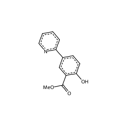 COC(=O)c1cc(-c2ccccn2)ccc1O